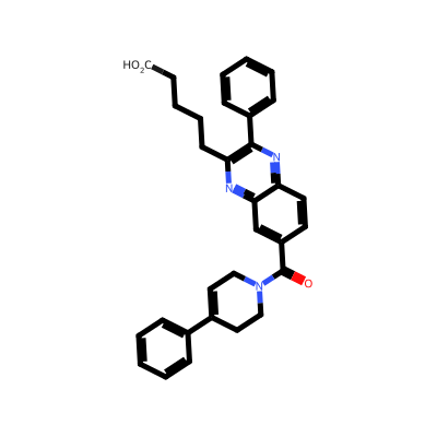 O=C(O)CCCCc1nc2cc(C(=O)N3CC=C(c4ccccc4)CC3)ccc2nc1-c1ccccc1